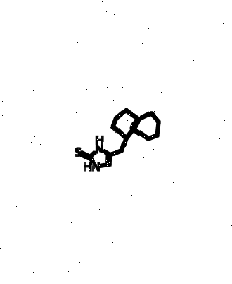 S=c1[nH]cc(CC2CCCC3=C2CCCC3)[nH]1